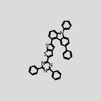 c1ccc(-c2ccc3c(c2)c2c(-c4cc5cc(-c6nc(-c7ccccc7)nc(-c7ccccc7)n6)sc5s4)cccc2n3-c2ccccc2)cc1